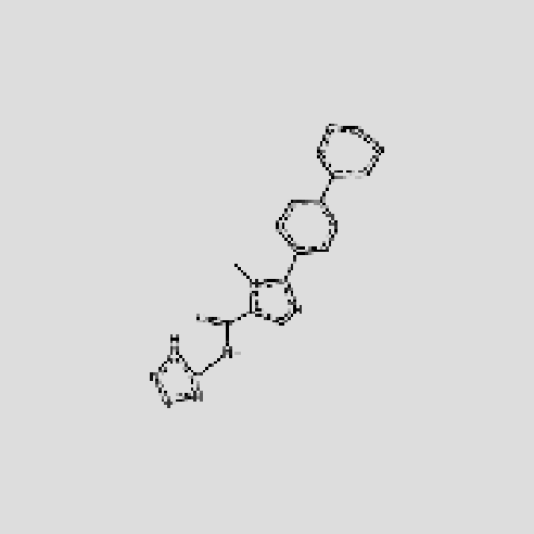 Cn1c(C(=O)Nc2nnn[nH]2)cnc1-c1ccc(-c2ccccc2)cc1